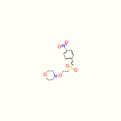 O=[N+]([O-])c1ccc(CS(=O)(=O)CCON2CCOCC2)cc1